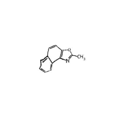 Cc1nc2c(ccc3ccccc32)o1